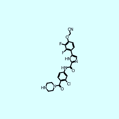 N#CCOc1ccc(-c2cnc(C(=O)Nc3ccc(C(=O)N4CCNCC4)c(Cl)c3)[nH]2)c(F)c1F